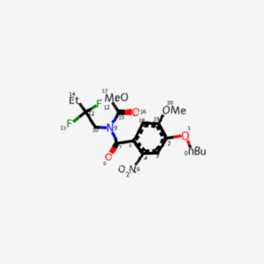 CCCCOc1cc([N+](=O)[O-])c(C(=O)N(CC(F)(F)CC)C(=O)OC)cc1OC